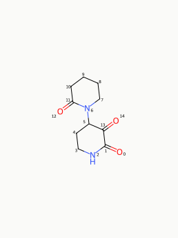 O=C1NCCC(N2CCCCC2=O)C1=O